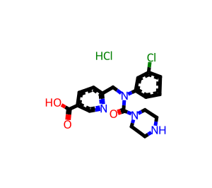 Cl.O=C(O)c1ccc(CN(C(=O)N2CCNCC2)c2cccc(Cl)c2)nc1